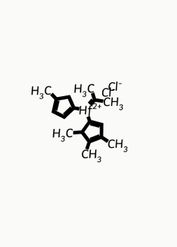 CC1=CC=[C]([Hf+2]([C]2=CC(C)=C(C)C2C)=[C](C)C)C1.[Cl-].[Cl-]